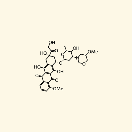 COc1cccc2c1C(=O)c1c(O)c3c(c(O)c1C2=O)C[C@@](O)(C(=O)CO)C[C@@H]3O[C@H]1C[C@H](N2COC[C@H](OC)C2)[C@H](O)[C@H](C)O1